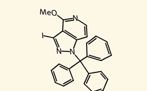 COc1nccc2c1c(I)nn2C(c1ccccc1)(c1ccccc1)c1ccccc1